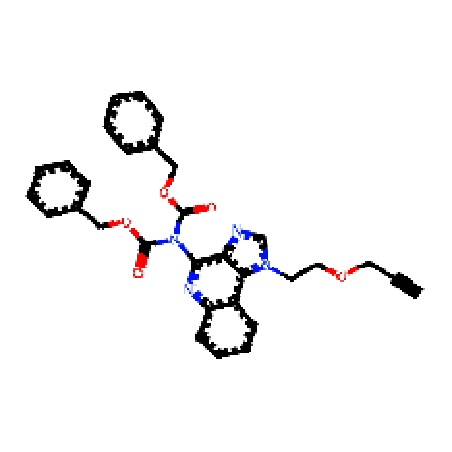 C#CCOCCn1cnc2c(N(C(=O)OCc3ccccc3)C(=O)OCc3ccccc3)nc3ccccc3c21